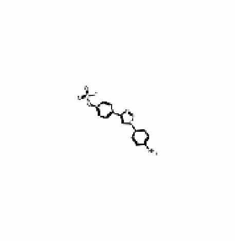 Nc1ccc(-n2cc(-c3ccc(OS(=O)(=O)F)cc3)nn2)cc1